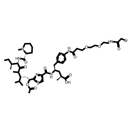 CC[C@H](C)[C@H](NC(=O)[C@H]1CCCCN1C)C(=O)C(C)[C@H](C[C@@H](OC(C)=O)c1nc(C(=O)N[C@@H](Cc2ccc(NC(=O)CCOCCOCCNC(=O)CBr)cc2)C[C@H](C)C(=O)O)cs1)C(C)C